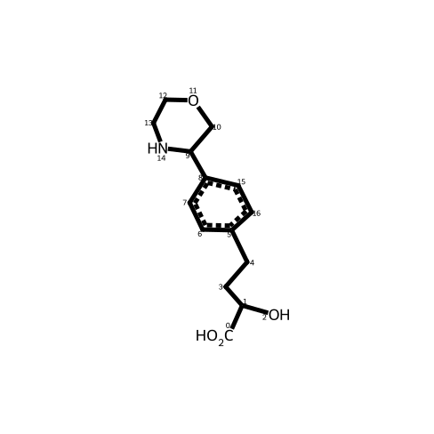 O=C(O)C(O)CCc1ccc(C2COCCN2)cc1